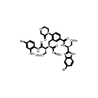 COC[C@H](NC(=O)c1ccc(N2CCOCC2=O)c(CN(C(=O)OC(C)(C)C)[C@@H](COC)C(=O)Nc2ccc(Br)cc2N)c1)c1nc2cc(Br)ccc2[nH]1